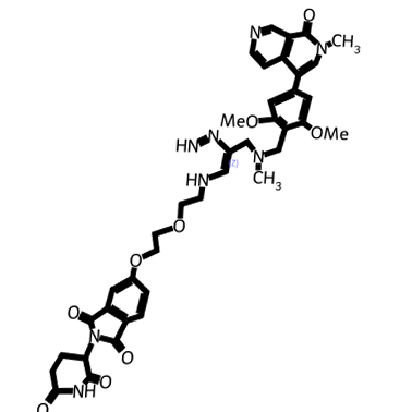 COc1cc(-c2cn(C)c(=O)c3cnccc23)cc(OC)c1CN(C)C/C(=C/NCCOCCOc1ccc2c(c1)C(=O)N(C1CCC(=O)NC1=O)C2=O)N=N